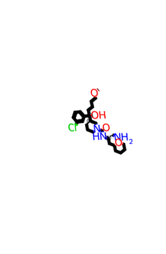 COCCCC[C@@](O)(c1cccc(Cl)c1)[C@@H]1CCCN(C(=O)N[C@H](CN)CC2CCCCO2)C1